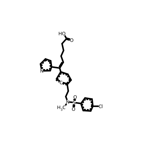 CN(CCc1ccc(C(=CCCCC(=O)O)c2cccnc2)cc1)S(=O)(=O)c1ccc(Cl)cc1